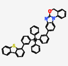 c1ccc([Si](c2ccccc2)(c2cccc(-c3ccc4c(c3)nc3n4-c4ccccc4CO3)c2)c2cccc(-c3cccc4c3sc3ccccc34)c2)cc1